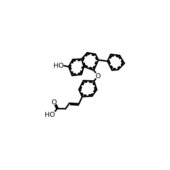 O=C(O)CC=Cc1ccc(Oc2c(-c3ccccc3)ccc3cc(O)ccc23)cc1